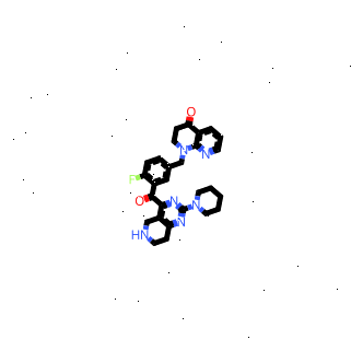 O=C1CCN(Cc2ccc(F)c(C(=O)c3nc(N4CCCCC4)nc4c3CNCC4)c2)c2ncccc21